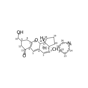 C[C@]12C=CC3=CC4=C(CC(CO)CC4=O)O[C@H]3[C@@H]1CC[C@@H]2c1cccnc1